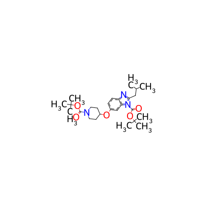 CC(C)Cc1nc2ccc(OC3CCN(C(=O)OC(C)(C)C)CC3)cc2n1C(=O)OC(C)(C)C